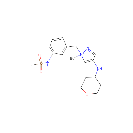 CC[N+]1(Cc2cccc(NS(C)(=O)=O)c2)C=C(NC2CCOCC2)C=N1